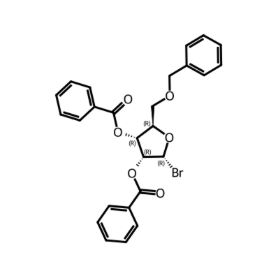 O=C(O[C@@H]1[C@H](OC(=O)c2ccccc2)[C@@H](COCc2ccccc2)O[C@@H]1Br)c1ccccc1